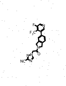 N#Cc1ncn(CC(=O)N2Cc3ccc(-c4cncc(F)c4C(F)(F)F)cc3C2)n1